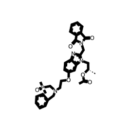 CC(=O)O[C@@H](C)Cn1c(CN2C(=O)c3ccccc3C2=O)nc2ccc(OCCN(Cc3ccccc3)CP(C)(C)=O)cc21